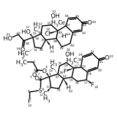 CCC(=O)O[C@]1(C(=O)SCF)[C@H](C)C[C@H]2C3C[C@H](F)C4=CC(=O)C=C[C@]4(C)[C@@]3(F)[C@@H](O)C[C@@]21C.C[C@H]1C[C@H]2[C@@H]3CCC4=CC(=O)C=C[C@]4(C)[C@@]3(Cl)[C@@H](O)C[C@]2(C)[C@@]1(O)C(=O)CO